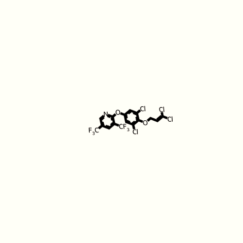 FC(F)(F)c1cnc(Oc2cc(Cl)c(OCC=C(Cl)Cl)c(Cl)c2)c(C(F)(F)F)c1